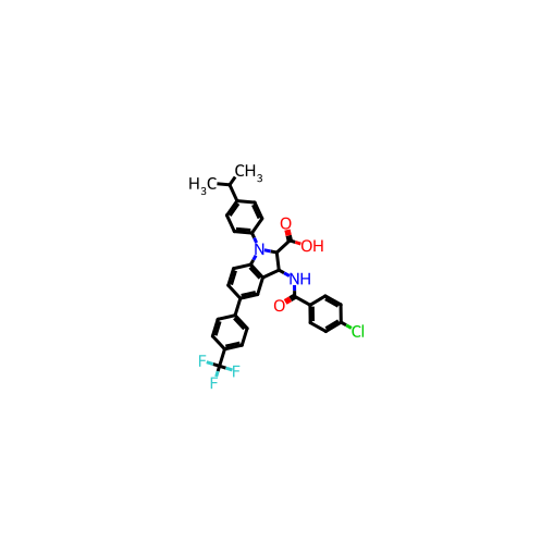 CC(C)c1ccc(N2c3ccc(-c4ccc(C(F)(F)F)cc4)cc3C(NC(=O)c3ccc(Cl)cc3)C2C(=O)O)cc1